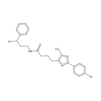 CCc1ccc(-c2nc(CCCC(=O)NCCC(CC)c3ccccc3)c(C)o2)cc1